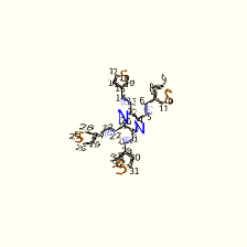 C(=C\c1nc(/C=C/c2ccsc2)c(/C=C/c2ccsc2)nc1/C=C/c1ccsc1)/c1ccsc1